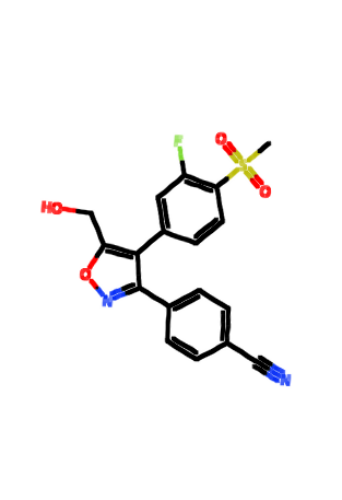 CS(=O)(=O)c1ccc(-c2c(-c3ccc(C#N)cc3)noc2CO)cc1F